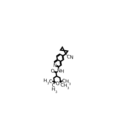 CC1(C)CC(C(=O)Nc2cc3cc([C@]4(C#N)CC45CC5)ccc3cn2)CC(C)(C)O1